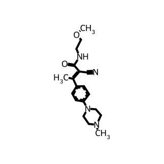 COCCNC(=O)/C(C#N)=C(\C)c1ccc(N2CCN(C)CC2)cc1